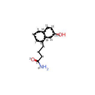 NC(=O)CCCc1cccc2ccc(O)cc12